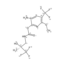 COc1nc(OC(=O)NC[C@](C)(O)C(F)(F)F)c(N)cc1C(F)(F)F